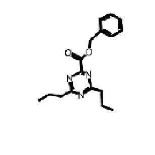 CCCc1nc(CCC)nc(C(=O)OCc2ccccc2)n1